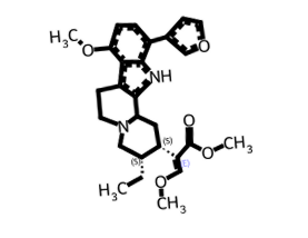 CC[C@@H]1CN2CCc3c([nH]c4c(-c5ccoc5)ccc(OC)c34)C2C[C@@H]1/C(=C\OC)C(=O)OC